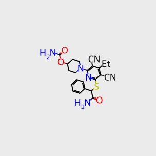 CCc1c(C#N)c(SC(C(N)=O)c2ccccc2)nc(N2CCC(OC(N)=O)CC2)c1C#N